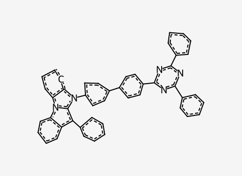 c1ccc(-c2nc(-c3ccccc3)nc(-c3ccc(-c4ccc(-n5c6ccccc6n6c7ccccc7c(-c7ccccc7)c56)cc4)cc3)n2)cc1